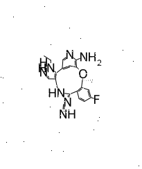 CCN/C1=C(\C=N)CN/C(=N\C=N)c2ccc(F)cc2[C@@H](C)Oc2cc1cnc2N